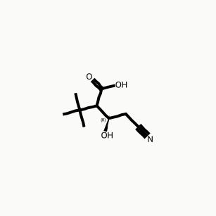 CC(C)(C)C(C(=O)O)[C@H](O)CC#N